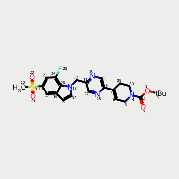 CC(C)(C)OC(=O)N1CC=C(c2cnc(Cn3ccc4cc(S(C)(=O)=O)cc(F)c43)cn2)CC1